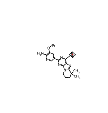 CC(C)Oc1cc(-c2nc(N3CC4CC3C4)c3nc4n(c3n2)CCCC4(C)C)cnc1N